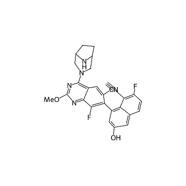 C#Cc1c(F)ccc2cc(O)cc(-c3c(C#N)cc4c(N5CC6CCC(C5)N6)nc(OC)nc4c3F)c12